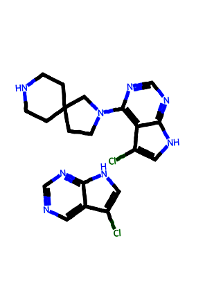 Clc1c[nH]c2ncnc(N3CCC4(CCNCC4)C3)c12.Clc1c[nH]c2ncncc12